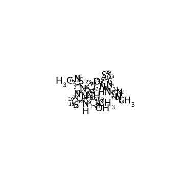 Cc1cc(N(c2nc(NC3CCC(C)(O)C3)c3sccc3n2)C2C[C@H](Oc3nc(Nc4cnn(C)c4)nc4ccsc34)C[C@@H]2N)sn1